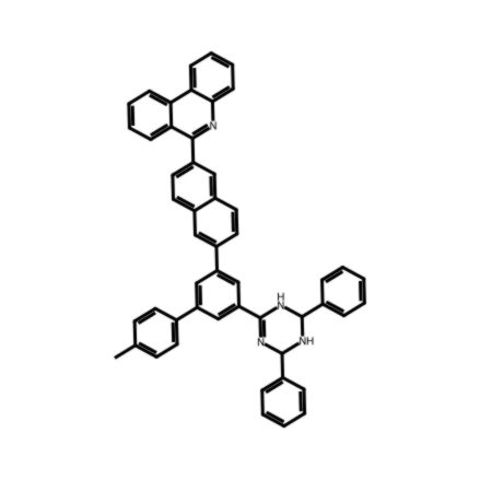 Cc1ccc(-c2cc(C3=NC(c4ccccc4)NC(c4ccccc4)N3)cc(-c3ccc4cc(-c5nc6ccccc6c6ccccc56)ccc4c3)c2)cc1